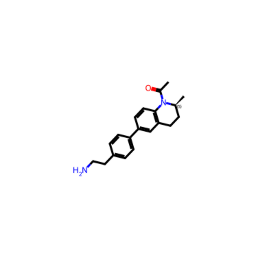 CC(=O)N1c2ccc(-c3ccc(CCN)cc3)cc2CC[C@@H]1C